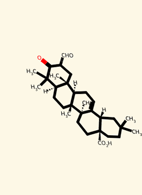 CC1(C)CC[C@]2(C(=O)O)CC[C@]3(C)C(=CC[C@@H]4[C@@]5(C)CC(C=O)C(=O)C(C)(C)[C@@H]5CC[C@]43C)[C@@H]2C1